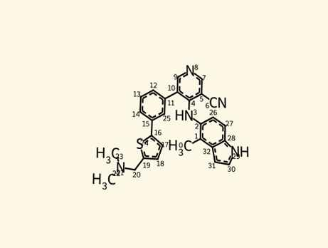 Cc1c(Nc2c(C#N)cncc2-c2cccc(-c3ccc(CN(C)C)s3)c2)ccc2[nH]ccc12